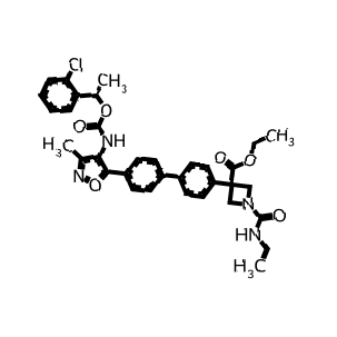 CCNC(=O)N1CC(C(=O)OCC)(c2ccc(-c3ccc(-c4onc(C)c4NC(=O)O[C@H](C)c4ccccc4Cl)cc3)cc2)C1